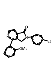 CCc1ccc(N2Cc3c(ccnc3-c3ccccc3OC)C2=O)cc1